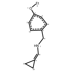 CCOc1ccc(CNC=C2CC2)cc1